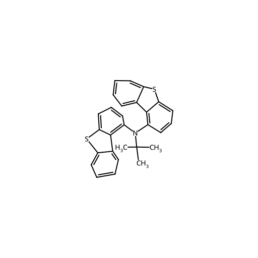 CC(C)(C)N(c1cccc2sc3ccccc3c12)c1cccc2sc3ccccc3c12